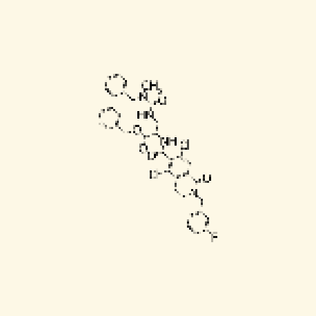 CN(Cc1ccccc1)C(=O)NCC(NC(=O)c1c(Cl)cc2c(c1Cl)CCN(Cc1cccc(F)c1)C2=O)C(=O)OCc1ccccc1